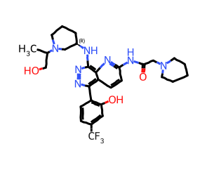 CC(CO)N1CCC[C@@H](Nc2nnc(-c3ccc(C(F)(F)F)cc3O)c3ccc(NC(=O)CN4CCCCC4)nc23)C1